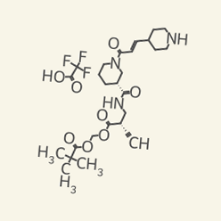 C#C[C@@H](CNC(=O)[C@@H]1CCCN(C(=O)/C=C/C2CCNCC2)C1)C(=O)OCOC(=O)C(C)(C)C.O=C(O)C(F)(F)F